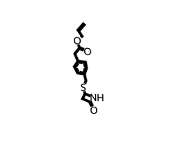 C=CCOC(=O)Cc1ccc(CSC2CC(=O)N2)cc1